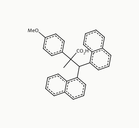 COc1ccc(C(C)(C(=O)O)C(c2cccc3ccccc23)c2cccc3ccccc23)cc1